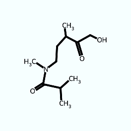 CC(C)C(=O)N(C)CCC(C)C(=O)CO